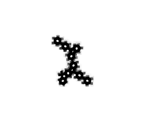 CC1(C)c2ccccc2-c2cc3c(cc21)c1cc(-c2ccc4c(c2)c2ccccc2n4-c2ccc(-c4ccccc4)cc2)ccc1n3-c1ccc(-c2ccccc2)cc1